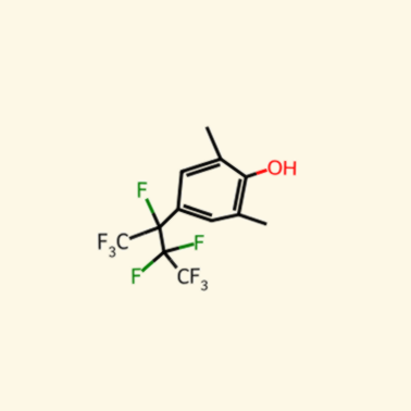 Cc1cc(C(F)(C(F)(F)F)C(F)(F)C(F)(F)F)cc(C)c1O